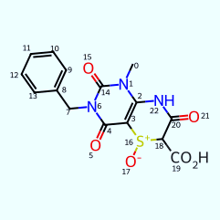 Cn1c2c(c(=O)n(Cc3ccccc3)c1=O)[S+]([O-])C(C(=O)O)C(=O)N2